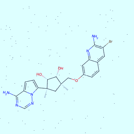 C[C@]1(COc2ccc3cc(Br)c(N)nc3c2)C[C@@](C)(c2ccc3c(N)ncnn23)[C@H](O)[C@@H]1O